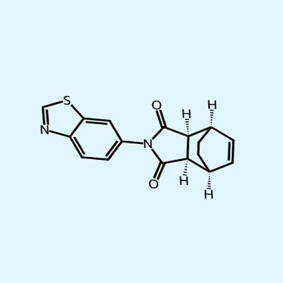 O=C1[C@@H]2[C@H](C(=O)N1c1ccc3ncsc3c1)[C@@H]1C=C[C@H]2CC1